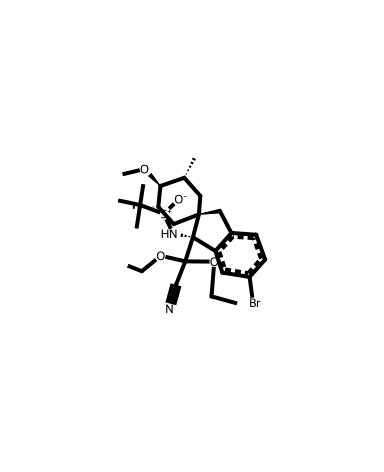 CCOC(C#N)(OCC)[C@]1(N[S+]([O-])C(C)(C)C)c2cc(Br)ccc2C[C@@]12C[C@@H](C)[C@H](OC)[C@@H](C)C2